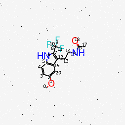 COc1ccc2[nH]c(C(F)(F)F)c(CCNC(C)=O)c2c1